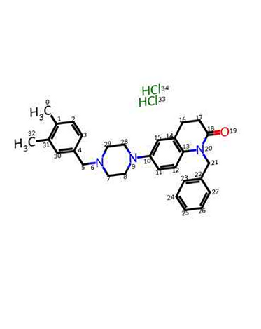 Cc1ccc(CN2CCN(c3ccc4c(c3)CCC(=O)N4Cc3ccccc3)CC2)cc1C.Cl.Cl